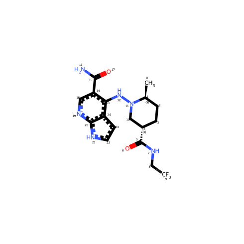 C[C@H]1CC[C@H](C(=O)NCC(F)(F)F)CN1Nc1c(C(N)=O)cnc2[nH]ccc12